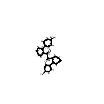 CC(C)c1ccc(-c2ccccc2C(=O)C(=O)c2ccccc2-c2ccc(C(C)C)cc2)cc1